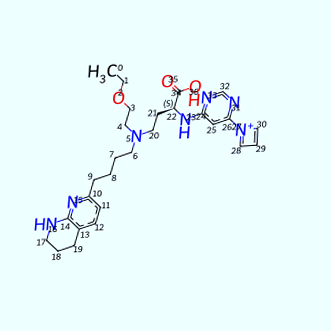 CCOCCN(CCCCc1ccc2c(n1)NCCC2)CC[C@H](Nc1cc([N+]2=CC=C2)ncn1)C(=O)O